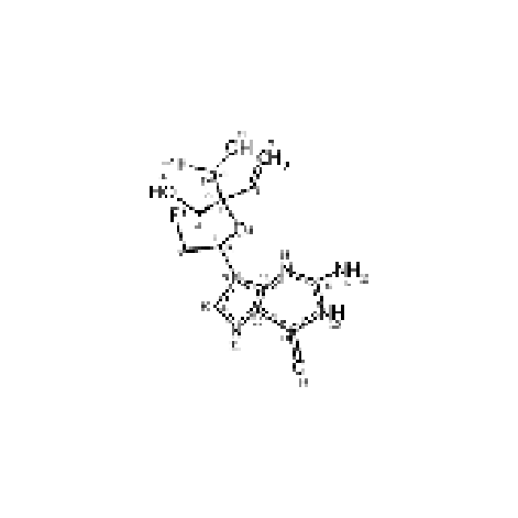 C=C[C@](CO)(O[C@H](CF)n1cnc2c(=O)[nH]c(N)nc21)[C@@H](O)F